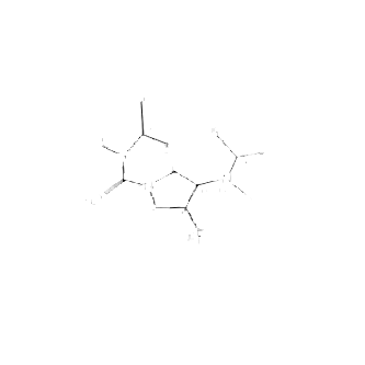 CC(C)N(C)C(=O)N1CC(F)C(N(C)C(C)C)C1